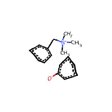 C[N+](C)(C)Cc1ccccc1.[O-]c1ccccc1